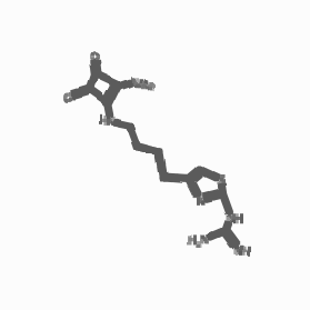 CNc1c(NCCCCc2csc(NC(=N)N)n2)c(=O)c1=O